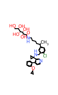 CC(CCCCNC(=O)[C@@H](O)[C@@H](O)[C@H](O)[C@@H](O)CO)c1ccc(Cl)c(CNC2(c3cnccc3-c3ccccc3OC3CC3)CC2)c1